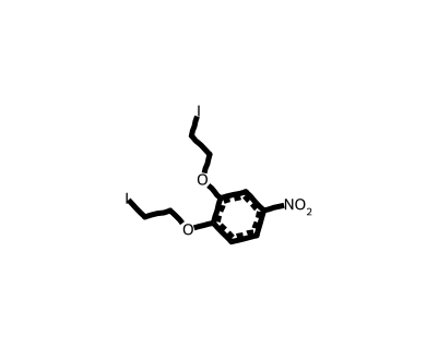 O=[N+]([O-])c1ccc(OCCI)c(OCCI)c1